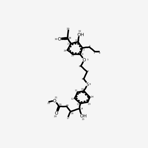 CCCc1c(OCCCSc2ccc(C(O)C(C)CC(=O)OC)cc2)ccc(C(C)=O)c1O